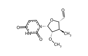 CO[C@H]1[C@H](C)[C@@H](C=O)O[C@H]1n1ccc(=O)[nH]c1=O